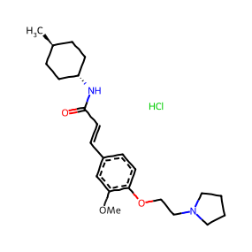 COc1cc(/C=C/C(=O)N[C@H]2CC[C@H](C)CC2)ccc1OCCN1CCCC1.Cl